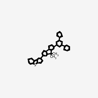 CC1(C)c2cc(-c3cc(-c4ccccc4)cc(-c4ccccc4)c3)ccc2-c2ccc(-c3ccc4sc5ccccc5c4c3)cc21